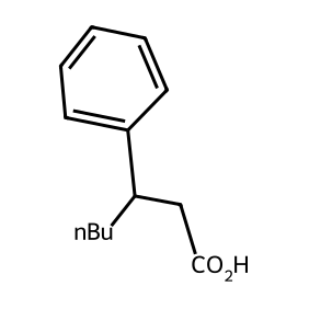 CCCCC(CC(=O)O)c1ccccc1